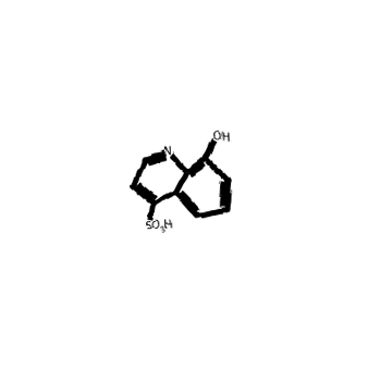 O=S(=O)(O)c1ccnc2c(O)cccc12